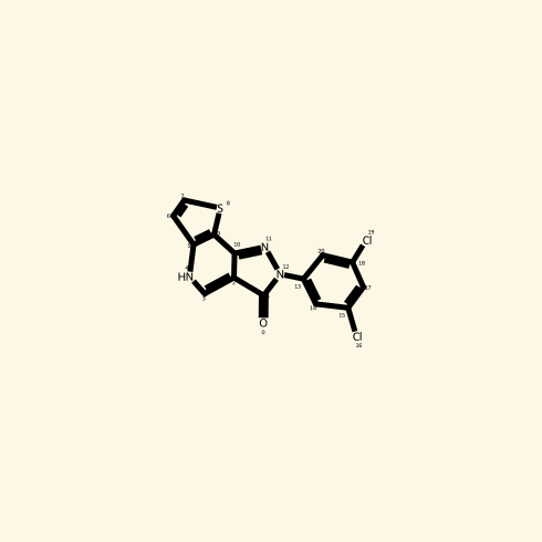 O=c1c2c[nH]c3ccsc3c-2nn1-c1cc(Cl)cc(Cl)c1